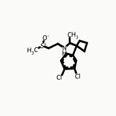 CC(NCC[S+](C)[O-])C1(c2ccc(Cl)c(Cl)c2)CCC1